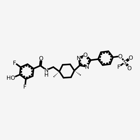 C[C@]1(CNC(=O)c2cc(F)c(O)c(F)c2)CC[C@@](C)(c2noc(-c3ccc(OS(=O)(=O)F)cc3)n2)CC1